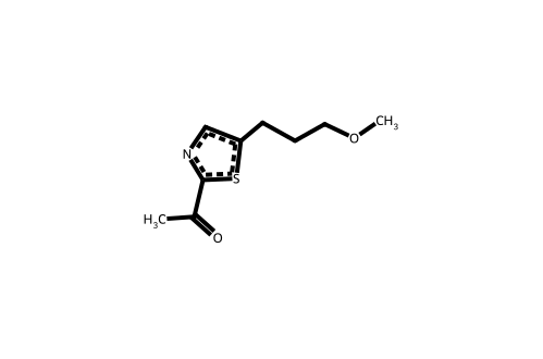 COCCCc1cnc(C(C)=O)s1